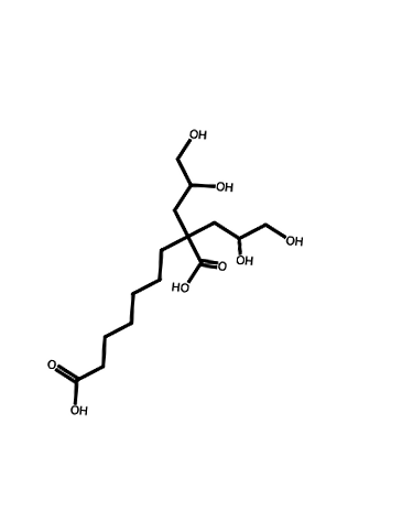 O=C(O)CCCCCCC(CC(O)CO)(CC(O)CO)C(=O)O